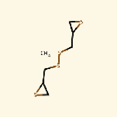 C.C(SSCC1CS1)C1CS1